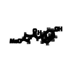 COC1CN(C(=O)C[C@H]2C3CC4CC2C[C@](O)(C4)C3)C1